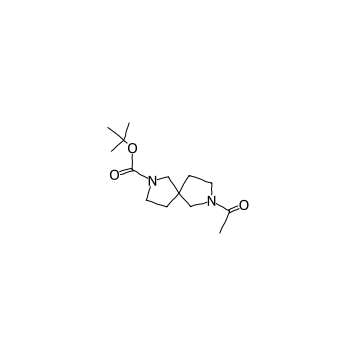 CC(=O)N1CCC2(CCN(C(=O)OC(C)(C)C)C2)C1